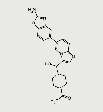 CC(=O)N1CCN(C(O)c2cnc3ccc(-c4ccc5oc(N)nc5c4)cn23)CC1